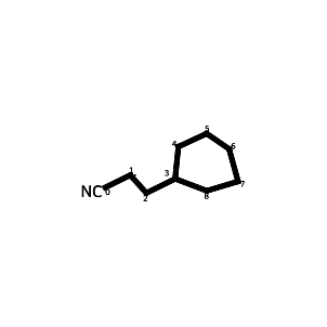 N#C[CH]CC1CCCCC1